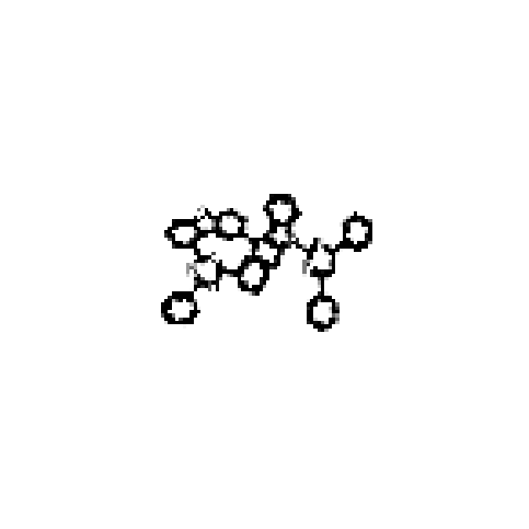 c1ccc(-c2cc(-c3ccccc3)nc(-n3c4ccccc4c4c(-c5ccc6oc7cccc(-c8nc(-c9ccccc9)nc(-c9ccccc9)n8)c7c6c5)cccc43)n2)cc1